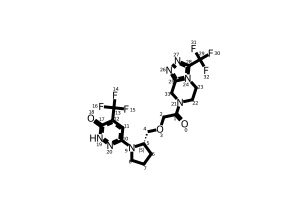 O=C(COC[C@@H]1CCCN1c1cc(C(F)(F)F)c(=O)[nH]n1)N1CCn2c(nnc2C(F)(F)F)C1